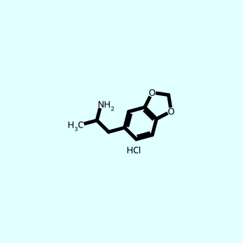 CC(N)Cc1ccc2c(c1)OCO2.Cl